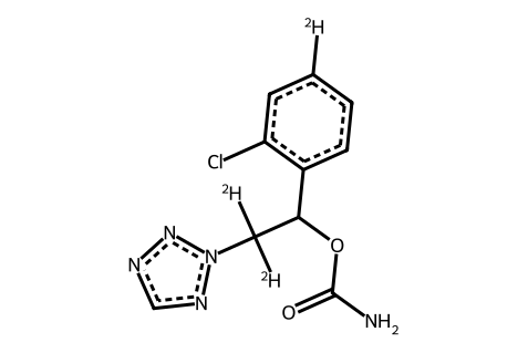 [2H]c1ccc(C(OC(N)=O)C([2H])([2H])n2ncnn2)c(Cl)c1